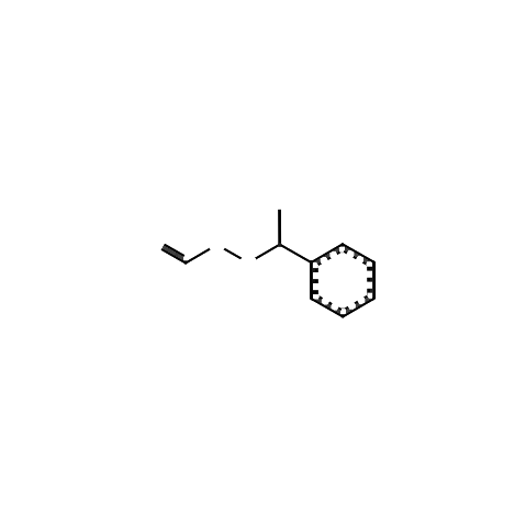 CC(OO[C]=O)c1ccccc1